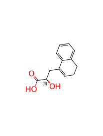 O=C(O)[C@H](O)CC1=CCCc2ccccc21